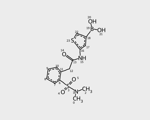 CN(C)S(=O)(=O)c1ccccc1CC(=O)Nc1cc(B(O)O)cs1